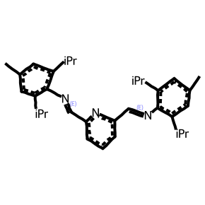 Cc1cc(C(C)C)c(/N=C/c2cccc(/C=N/c3c(C(C)C)cc(C)cc3C(C)C)n2)c(C(C)C)c1